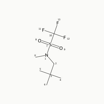 CN(CC(C)(C)C)S(=O)(=O)C(F)(F)F